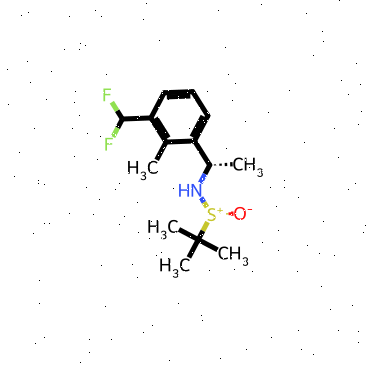 Cc1c(C(F)F)cccc1[C@H](C)N[S@+]([O-])C(C)(C)C